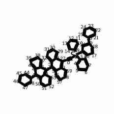 C(#C[Si](c1ccccc1)(c1ccccc1)c1cccc(-c2ccccc2)c1)c1c2ccccc2c(-c2c3ccccc3c(-c3ccccc3)c3ccccc23)c2ccccc12